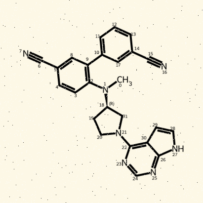 CN(c1ccc(C#N)cc1-c1cccc(C#N)c1)[C@@H]1CCN(c2ncnc3[nH]ccc23)C1